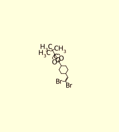 CC(C)(C)C12COC(C3CCC(C=C(Br)Br)CC3)(OC1)OC2